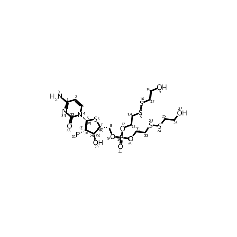 Nc1ccn([C@@H]2S[C@H](COP(=O)(OCCSSCCO)OCCSSCCO)[C@@H](O)[C@@H]2F)c(=O)n1